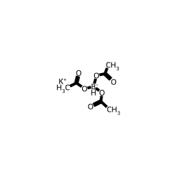 CC(=O)O[BH-](OC(C)=O)OC(C)=O.[K+]